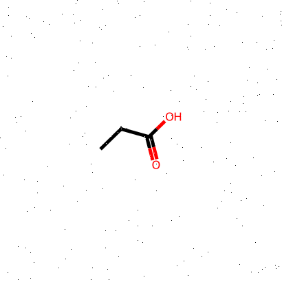 C[CH]C(=O)O